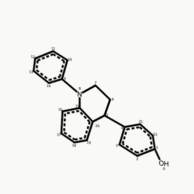 Oc1ccc(C2CCN(c3ccccc3)c3ccccc32)cc1